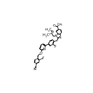 CO[C@H](C)Cn1c(Cc2ccc(-c3cccc(OCc4ccc(C#N)cc4F)n3)cc2F)nc2ccc(C(=O)O)cc21